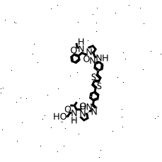 CC(=O)N[C@@H](C(=O)N1CCCC1c1nc2cc(-c3cc4sc(-c5ccc(-c6cnc([C@@H]7CCCN7C(=O)[C@@H](NC(=O)CO)C(C)C)[nH]6)cc5)cc4s3)ccc2[nH]1)c1ccccc1